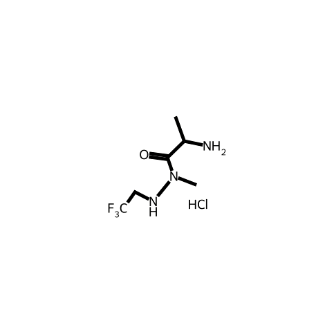 CC(N)C(=O)N(C)NCC(F)(F)F.Cl